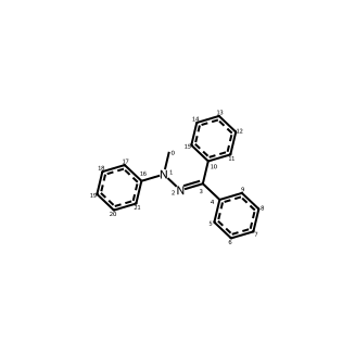 CN(N=C(c1ccccc1)c1ccccc1)c1ccccc1